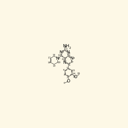 COc1ccc(-c2cnc3nc(N)nc(N4CC=CCC4)c3n2)cc1OC